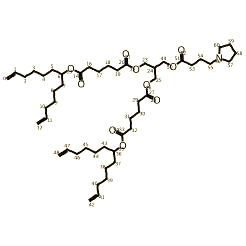 C=CCCCCC(CCCCC=C)OC(=O)CCCCC(=O)OCC(COC(=O)CCCCC(=O)OC(CCCCC=C)CCCCC=C)COC(=O)CCCN1CCCC1